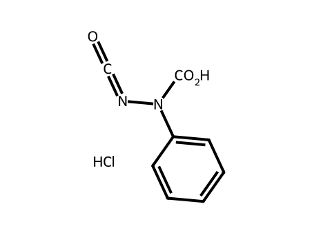 Cl.O=C=NN(C(=O)O)c1ccccc1